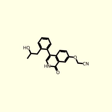 CC(O)Cc1ccccc1-c1c[nH]c(=O)c2cc(OCC#N)ccc12